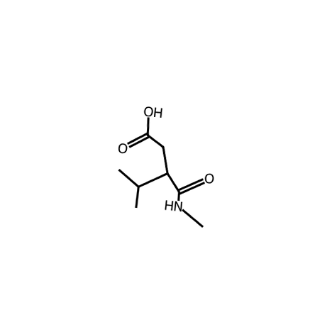 CNC(=O)C(CC(=O)O)C(C)C